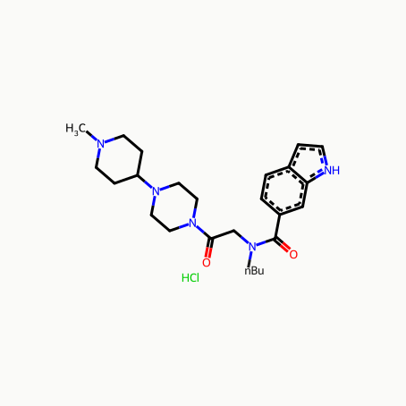 CCCCN(CC(=O)N1CCN(C2CCN(C)CC2)CC1)C(=O)c1ccc2cc[nH]c2c1.Cl